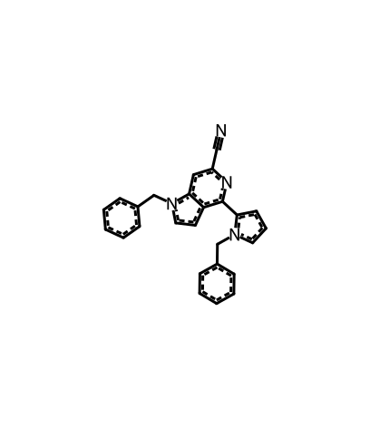 N#Cc1cc2c(ccn2Cc2ccccc2)c(-c2cccn2Cc2ccccc2)n1